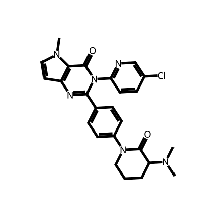 CN(C)C1CCCN(c2ccc(-c3nc4ccn(C)c4c(=O)n3-c3ccc(Cl)cn3)cc2)C1=O